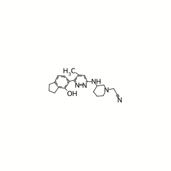 Cc1cc(NC2CCCN(CC#N)C2)nnc1-c1ccc2c(c1O)CCC2